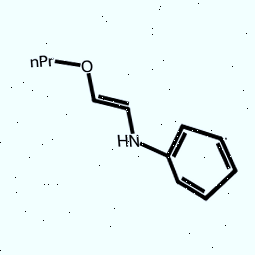 CCCOC=CNc1c[c]ccc1